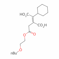 CCCCOCCOC(=O)C/C(C(=O)O)=C(\C(=O)O)C1CCCCC1